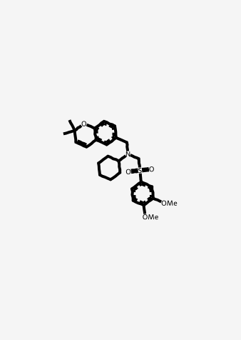 COc1ccc(S(=O)(=O)CN(Cc2ccc3c(c2)C=CC(C)(C)O3)C2CCCCC2)cc1OC